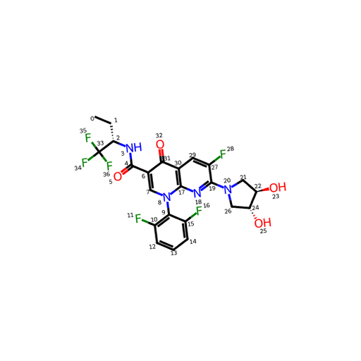 CC[C@H](NC(=O)c1cn(-c2c(F)cccc2F)c2nc(N3C[C@@H](O)[C@H](O)C3)c(F)cc2c1=O)C(F)(F)F